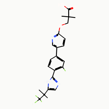 CC(C)(COc1ccc(-c2ccc(-c3ncc(C(C)(C)C(F)(F)F)[nH]3)c(F)c2)cn1)C(=O)O